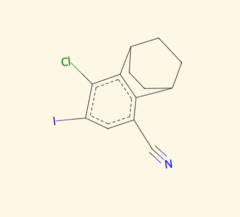 N#Cc1cc(I)c(Cl)c2c1C1CCC2CC1